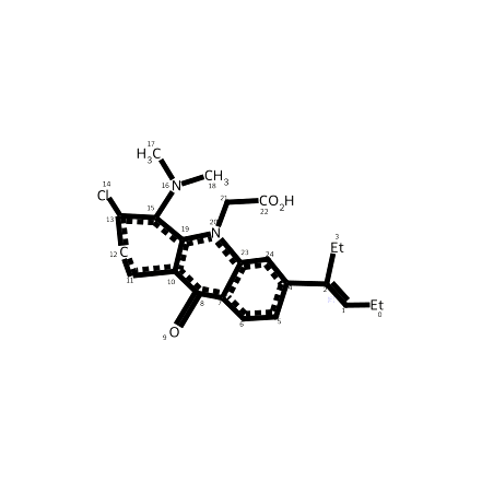 CC/C=C(\CC)c1ccc2c(=O)c3ccc(Cl)c(N(C)C)c3n(CC(=O)O)c2c1